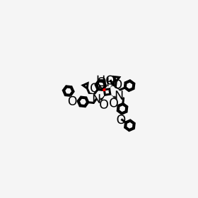 O=C(O)[C@H]1[C@H](C(=O)O)[C@H](C(=O)N(Cc2ccc(Oc3ccccc3)cc2)[C@@H](CC2CC2)c2ccccc2)[C@H]1C(=O)N(Cc1ccc(Oc2ccccc2)cc1)[C@@H](CC1CC1)c1ccccc1